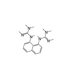 CN=C(N(C)C)N(C)c1cccc2cccc(N(C)C(=NC)N(C)C)c12